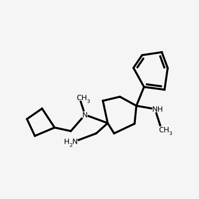 CNC1(c2ccccc2)CCC(CN)(N(C)CC2CCC2)CC1